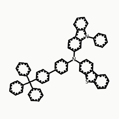 c1ccc(-n2c3ccccc3c3ccc(N(c4ccc(-c5ccc(C(c6ccccc6)(c6ccccc6)c6ccccc6)cc5)cc4)c4ccc5c(c4)sc4ccccc45)cc32)cc1